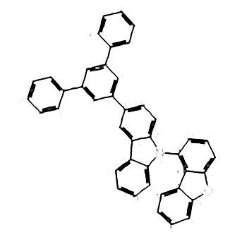 c1ccc(-c2cc(-c3ccccc3)cc(-c3ccc4c(c3)c3ccccc3n4-c3cccc4oc5ccccc5c34)c2)cc1